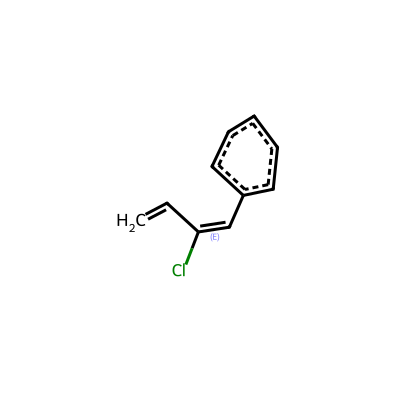 C=C/C(Cl)=C\c1ccccc1